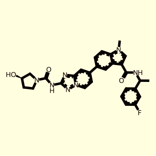 CC(NC(=O)c1cn(C)c2ccc(-c3ccn4nc(NC(=O)N5CC[C@@H](O)C5)nc4c3)cc12)c1cccc(F)c1